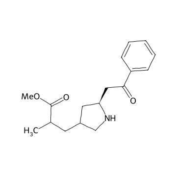 COC(=O)C(C)CC1CN[C@H](CC(=O)c2ccccc2)C1